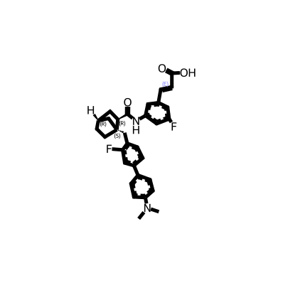 CN(C)c1ccc(-c2ccc(C[C@@]34CC[C@H](C[C@H]3C(=O)Nc3cc(F)cc(/C=C/C(=O)O)c3)C4)c(F)c2)cc1